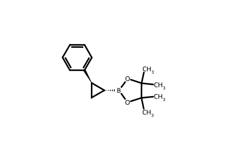 CC1(C)OB([C@@H]2C[C@H]2c2ccccc2)OC1(C)C